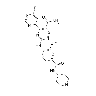 COc1cc(C(=O)NC2CCN(C)CC2)ccc1Nc1ncc(C(N)=O)c(-c2cc(F)ncn2)n1